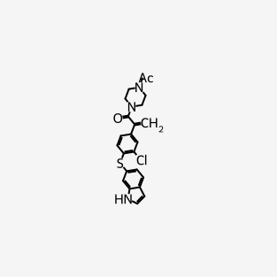 C=C(C(=O)N1CCN(C(C)=O)CC1)c1ccc(Sc2ccc3cc[nH]c3c2)c(Cl)c1